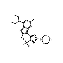 CCC(CC)c1cc(C)nn2c(-c3sc(N4CCOCC4)nc3C(F)(F)F)c(C)nc12